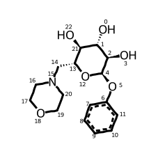 O[C@@H]1[C@@H](O)[C@@H](Oc2ccccc2)O[C@H](CN2CCOCC2)[C@H]1O